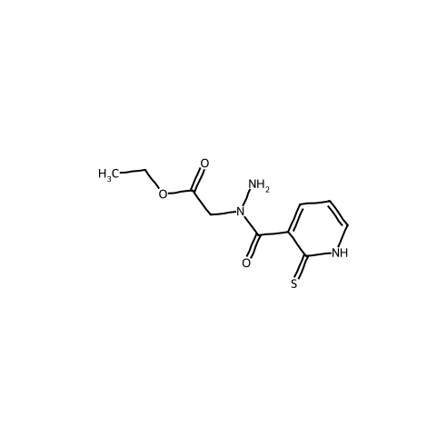 CCOC(=O)CN(N)C(=O)c1ccc[nH]c1=S